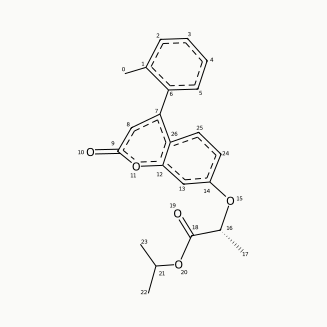 Cc1ccccc1-c1cc(=O)oc2cc(O[C@H](C)C(=O)OC(C)C)ccc12